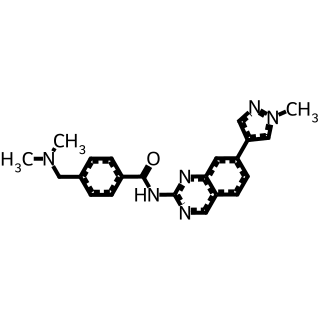 CN(C)Cc1ccc(C(=O)Nc2ncc3ccc(-c4cnn(C)c4)cc3n2)cc1